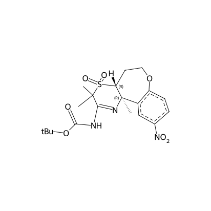 CC(C)(C)OC(=O)NC1=N[C@]2(C)c3cc([N+](=O)[O-])ccc3OCC[C@H]2S(=O)(=O)C1(C)C